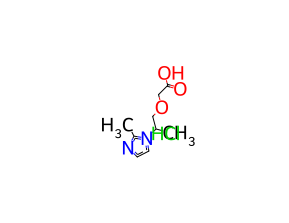 Cc1nccn1C(C)COCC(=O)O.Cl